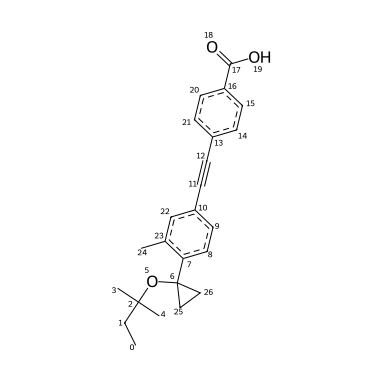 CCC(C)(C)OC1(c2ccc(C#Cc3ccc(C(=O)O)cc3)cc2C)CC1